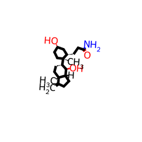 C=C1CC[C@H]2[C@H](O)[C@@H]([C@@]3(C)CC[C@H](O)C[C@@H]3CCC(N)=O)CC[C@]12C